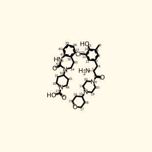 Cc1cc(C[C@@H](N)C(=O)N2CCN(C3CCOCC3)CC2)cc(Cl)c1O.O=C(O)N1CCC(N2CCc3ccccc3NC2=O)CC1